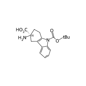 CC(C)(C)OC(=O)n1c2c(c3ccccc31)C[C@](N)(C(=O)O)CC2